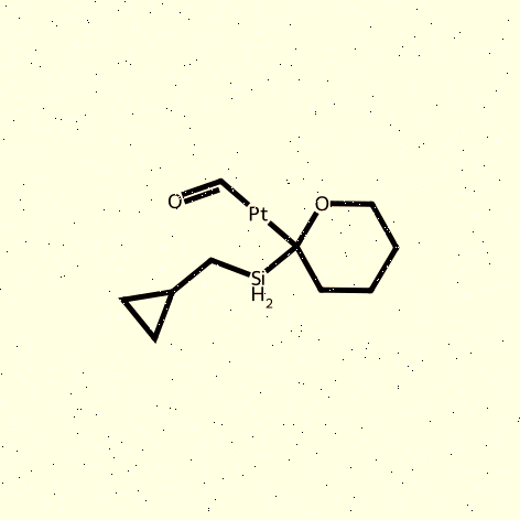 O=[CH][Pt][C]1([SiH2]CC2CC2)CCCCO1